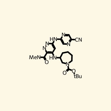 CNC(=O)c1nnc(Nc2cnc(C#N)cn2)cc1NC1CCCCN(C(=O)OC(C)(C)C)C1